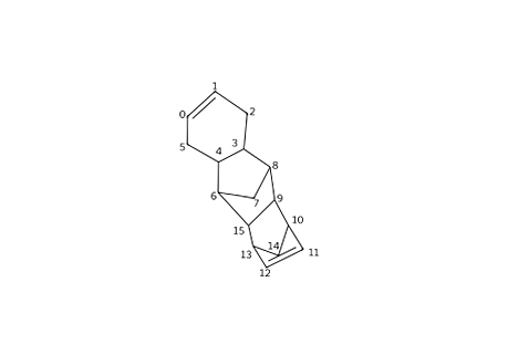 C1=CCC2C(C1)C1CC2C2C3C=CC(C3)C12